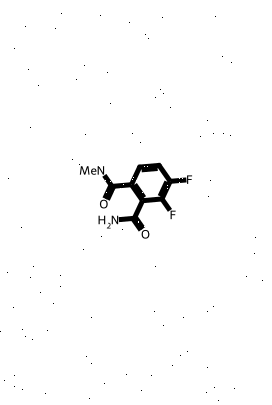 CNC(=O)c1ccc(F)c(F)c1C(N)=O